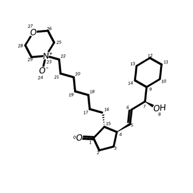 O=C1CC[C@H](/C=C/[C@H](O)C2CCCCC2)[C@H]1CCCCCCC[N+]1([O-])CCOCC1